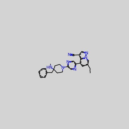 CCc1cc(-c2cnc(N3CCC(Cc4ccccc4)(NC)CC3)cn2)c2c(C#N)cnn2c1